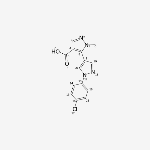 Cn1ncc(C(=O)O)c1-c1cnn(-c2ccc(Cl)cc2)c1